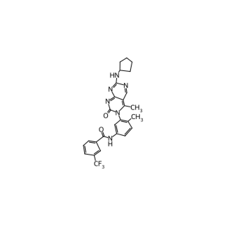 Cc1ccc(NC(=O)c2cccc(C(F)(F)F)c2)cc1-n1c(C)c2cnc(NC3CCCC3)nc2nc1=O